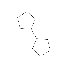 [CH]1CCCC1C1CCCC1